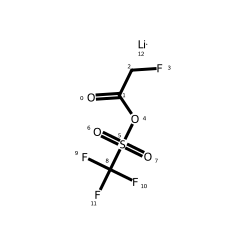 O=C(CF)OS(=O)(=O)C(F)(F)F.[Li]